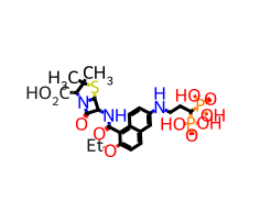 CCOc1ccc2cc(NCCC(P(=O)(O)O)P(=O)(O)O)ccc2c1C(=O)NC1C(=O)N2C1SC(C)(C)C2C(=O)O